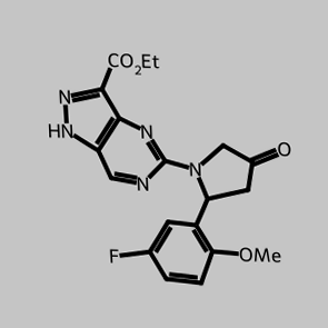 CCOC(=O)c1n[nH]c2cnc(N3CC(=O)CC3c3cc(F)ccc3OC)nc12